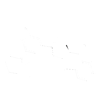 CCNc1cc(C(=O)N[C@@H](Cc2ccccc2)[C@@H](O)CN)cc(N2CCCCS2(O)O)c1